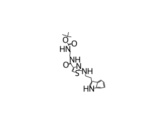 CC(C)(C)OC(=O)NCCNC(=O)c1csc(NCCc2c[nH]c3ccccc23)n1